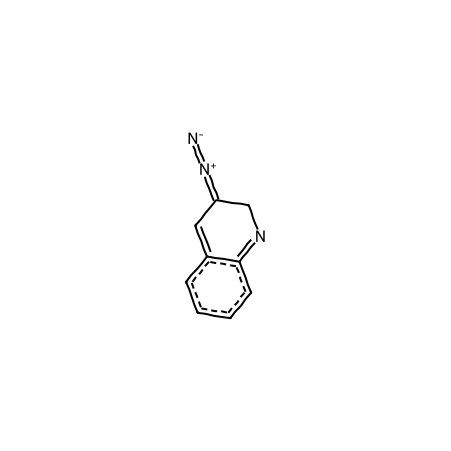 [N-]=[N+]=C1C=c2ccccc2=NC1